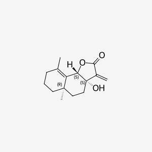 C=C1C(=O)O[C@H]2C3=C(C)CCC[C@]3(C)CC[C@]12O